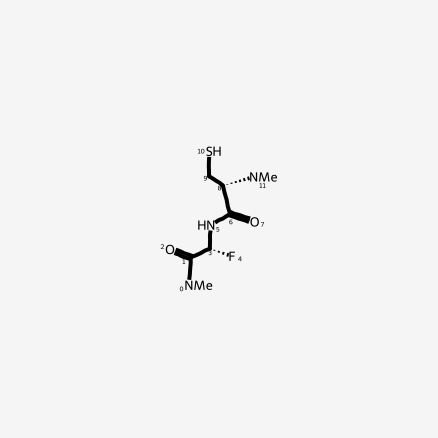 CNC(=O)[C@@H](F)NC(=O)[C@H](CS)NC